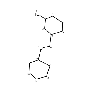 OC1CCCC(COC2CCCCC2)C1